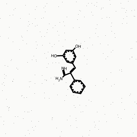 N=C(N)C(=Cc1cc(O)cc(O)c1)c1ccccc1